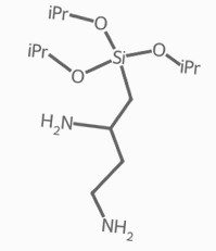 CC(C)O[Si](CC(N)CCN)(OC(C)C)OC(C)C